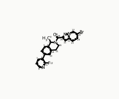 CC1c2ccc(-c3cccnc3F)cc2CCN1C(=O)c1cc2ccc(Br)cn2n1